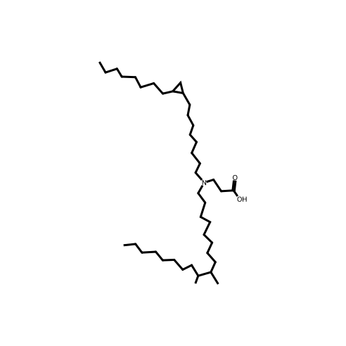 CCCCCCCCC(C)C(C)CCCCCCCCN(CCCCCCCCC1CC1CCCCCCCC)CCC(=O)O